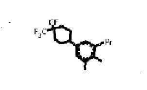 Cc1cc(C2CCC(C(F)(F)F)(C(F)(F)F)CC2)cc(C(C)C)c1C